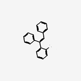 Nc1ccccc1C(=Cc1ccccc1)c1ccccc1